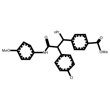 CCCC(c1ccc(C(=O)OC)cc1)C(C(=O)Nc1ccc(OC)cc1)c1ccc(Cl)cc1